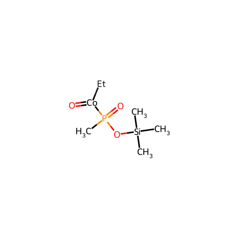 C[CH2][Co](=[O])[P](C)(=O)O[Si](C)(C)C